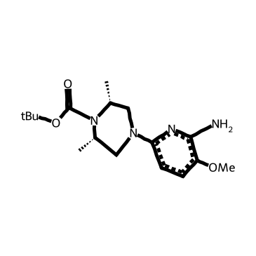 COc1ccc(N2C[C@@H](C)N(C(=O)OC(C)(C)C)[C@@H](C)C2)nc1N